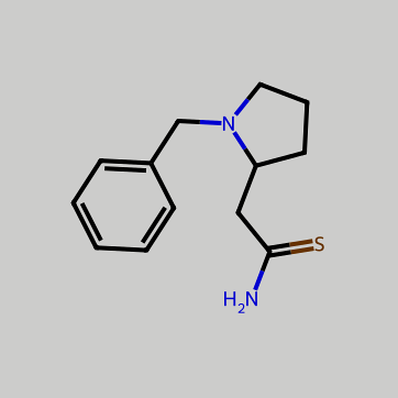 NC(=S)CC1CCCN1Cc1ccccc1